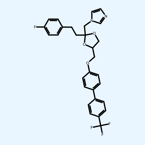 Fc1ccc(CCC2(Cn3ccnc3)OCC(COc3ccc(-c4ccc(C(F)(F)F)cc4)cc3)O2)cc1